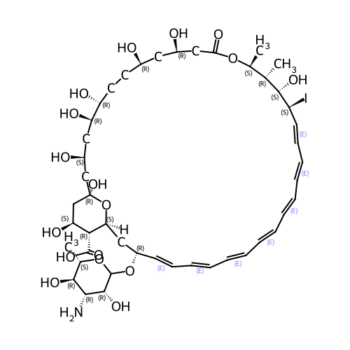 C[C@@H]1[C@H](O)[C@@H](I)/C=C/C=C/C=C/C=C/C=C/C=C/C=C/[C@H](OC2O[C@@H](C)[C@H](O)[C@@H](N)[C@H]2O)C[C@@H]2O[C@](O)(C[C@@H](O)C[C@@H](O)[C@H](O)CC[C@@H](O)C[C@@H](O)CC(=O)O[C@H]1C)C[C@H](O)[C@H]2C(=O)O